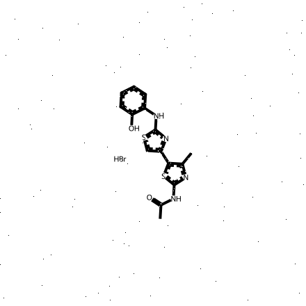 Br.CC(=O)Nc1nc(C)c(-c2csc(Nc3ccccc3O)n2)s1